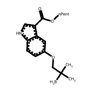 BC(C)(C)COc1ccc2[nH]cc(C(=O)OCCCCC)c2c1